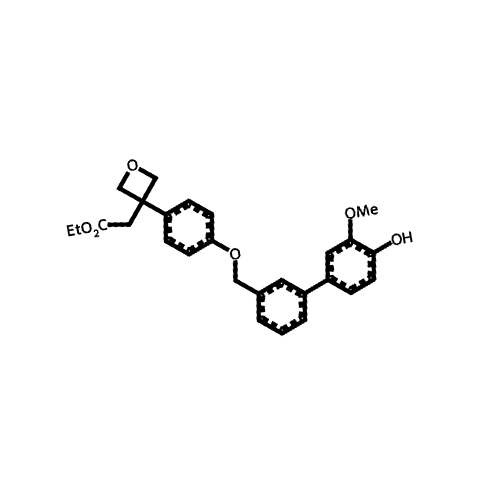 CCOC(=O)CC1(c2ccc(OCc3cccc(-c4ccc(O)c(OC)c4)c3)cc2)COC1